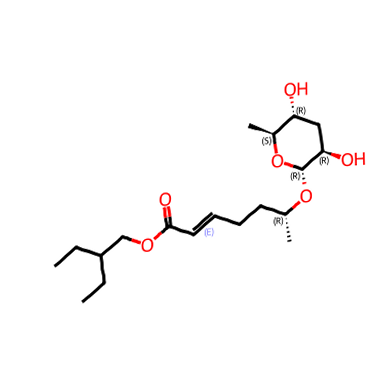 CCC(CC)COC(=O)/C=C/CC[C@@H](C)O[C@@H]1O[C@@H](C)[C@H](O)C[C@H]1O